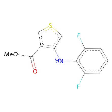 COC(=O)c1cscc1Nc1c(F)cccc1F